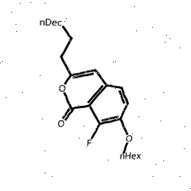 CCCCCCCCCCCCc1cc2ccc(OCCCCCC)c(F)c2c(=O)o1